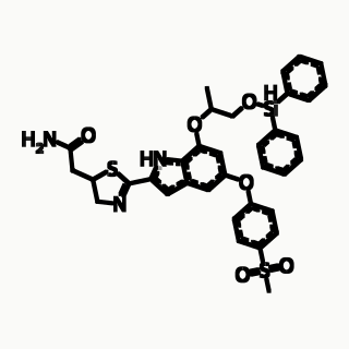 CC(CO[SiH](c1ccccc1)c1ccccc1)Oc1cc(Oc2ccc(S(C)(=O)=O)cc2)cc2cc(C3=NCC(CC(N)=O)S3)[nH]c12